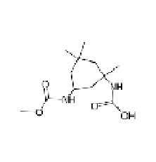 COC(=O)NC1CC(C)(C)CC(C)(NC(=O)O)C1